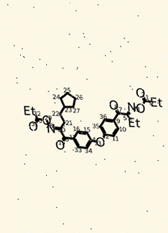 CCC(=O)O/N=C(\CC)C(=O)c1ccc(Oc2ccc(C(=O)/C(CCC3CCCC3)=N/OC(=O)CC)cc2)cc1